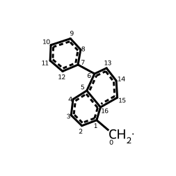 [CH2]c1cccc2c(-c3ccccc3)cccc12